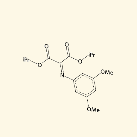 COc1cc(N=C(C(=O)OC(C)C)C(=O)OC(C)C)cc(OC)c1